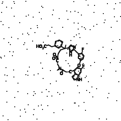 CN1CCS(=O)(=O)CCC(C)(c2cccc(CCC(=O)O)c2)c2cnc([nH]2)-c2cc(ccc2F)Oc2c(F)cc3[nH]ccc3c2CCC1=O